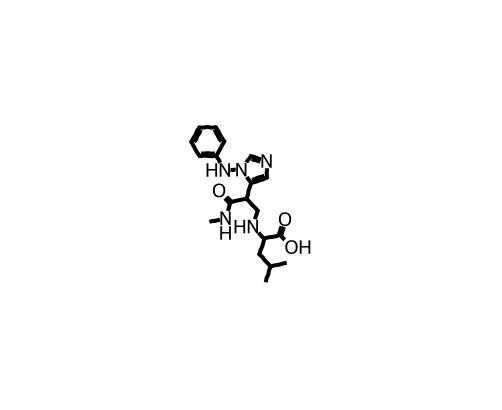 CNC(=O)C(CNC(CC(C)C)C(=O)O)c1cncn1Nc1ccccc1